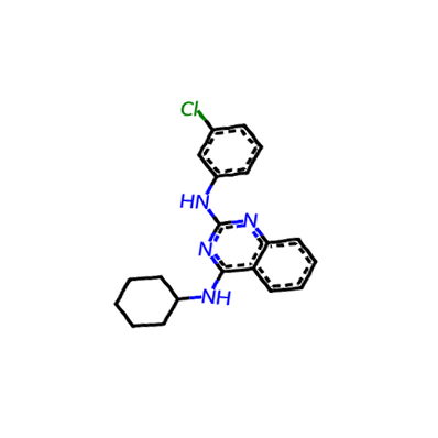 Clc1cccc(Nc2nc(NC3CCCCC3)c3ccccc3n2)c1